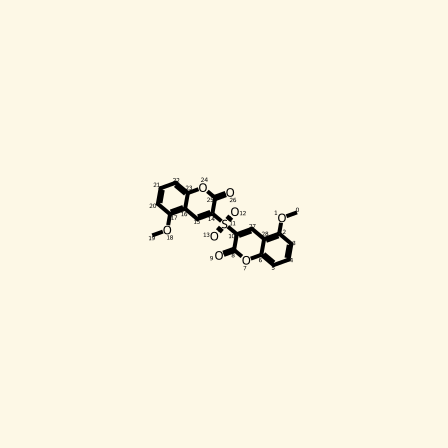 COc1cccc2oc(=O)c(S(=O)(=O)c3cc4c(OC)cccc4oc3=O)cc12